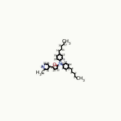 CCCCCc1ccc(N(c2ccc(CCCCC)cc2)c2ccc(-c3ccnc(C)c3)o2)cc1